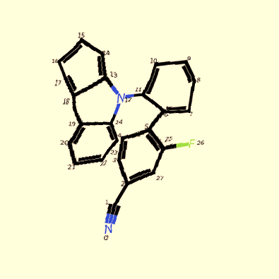 N#Cc1ccc(-c2ccccc2-n2c3ccccc3c3ccccc32)c(F)c1